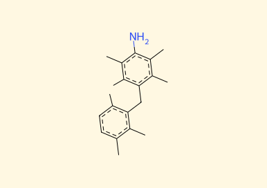 Cc1ccc(C)c(Cc2c(C)c(C)c(N)c(C)c2C)c1C